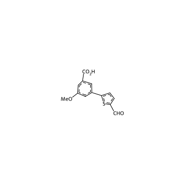 COc1cc(C(=O)O)cc(-c2ccc(C=O)s2)c1